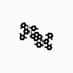 Cc1ccc(F)c(N(c2cc(-c3c(C)cccc3C)cc(-c3c(C)cccc3C)c2)c2ccc3ccc4c(N(c5cc(-c6c(C)cccc6C)cc(-c6c(C)cccc6C)c5)c5cc(C)ccc5F)ccc5ccc2c3c54)c1